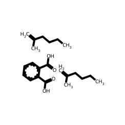 C=C(C)CCCC.C=C(C)CCCC.O=C(O)c1ccccc1C(=O)O